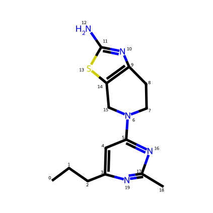 CCCc1cc(N2CCc3nc(N)sc3C2)nc(C)n1